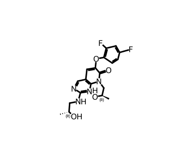 C[C@@H](O)CNc1ncc2cc(Oc3ccc(F)cc3F)c(=O)n(C[C@@H](C)O)c2n1